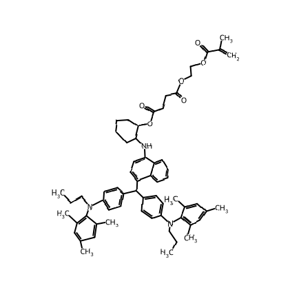 C=C(C)C(=O)OCCOC(=O)CCC(=O)OC1CCCCC1Nc1ccc(C(c2ccc(N(CCC)c3c(C)cc(C)cc3C)cc2)c2ccc(N(CCC)c3c(C)cc(C)cc3C)cc2)c2ccccc12